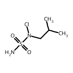 CC(C)CN(Cl)S(N)(=O)=O